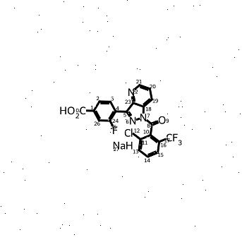 O=C(O)c1ccc(-c2nn(C(=O)c3c(Cl)cccc3C(F)(F)F)c3cccnc23)c(F)c1.[NaH]